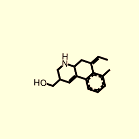 C/C=C1/CC2NCC(CO)C=C2c2cccc(C)c21